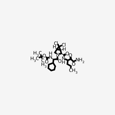 CCCC(NC(=O)[C@@H]1[C@H]2[C@@H](CN1C(=O)[C@@H](NC(=O)OC(C)(C)C)C1CCCCC1)C2(Cl)Cl)C(=O)C(N)=O